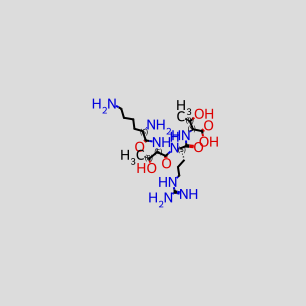 C[C@@H](O)[C@H](NC(=O)[C@H](CCCNC(=N)N)NC(=O)[C@@H](NC(=O)[C@@H](N)CCCCN)[C@@H](C)O)C(=O)O